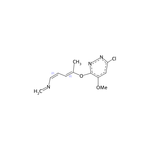 C=N/C=C\C=C(/C)Oc1nnc(Cl)cc1OC